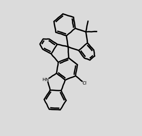 CC1(C)c2ccccc2C2(c3ccccc3-c3c2cc(Cl)c2c3[nH]c3ccccc32)c2ccccc21